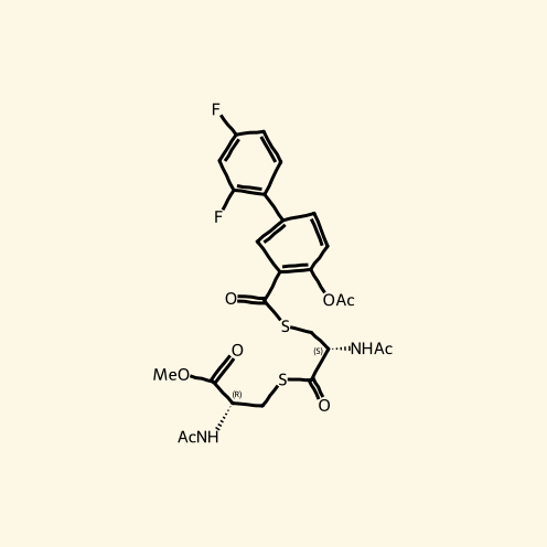 COC(=O)[C@H](CSC(=O)[C@H](CSC(=O)c1cc(-c2ccc(F)cc2F)ccc1OC(C)=O)NC(C)=O)NC(C)=O